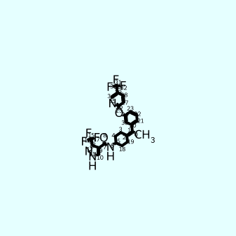 CC(=C1CCC(NC(=O)c2c[nH]nc2C(F)(F)F)CC1)c1cccc(Oc2ccc(C(F)(F)F)cn2)c1